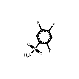 NS(=O)(=O)c1cc(F)c(F)cc1F